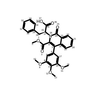 COC(=O)c1c(-c2cc(OC)c(OC)c(OC)c2)c2ccccc2c(=O)n1[C@@H](Cc1ccccc1)C(=O)O